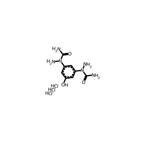 Cl.Cl.Cl.NC(=O)N(N)c1cc(O)cc(N(N)C(N)=O)c1